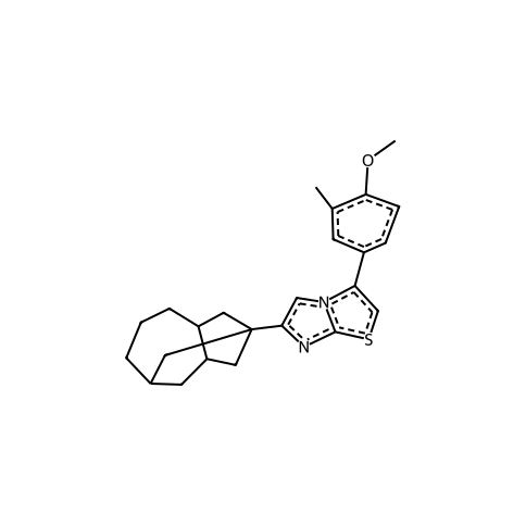 COc1ccc(-c2csc3nc(C45CC6CCCC(C4)C(C6)C5)cn23)cc1C